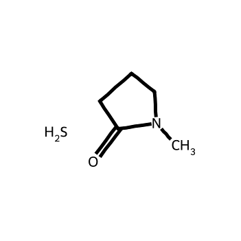 CN1CCCC1=O.S